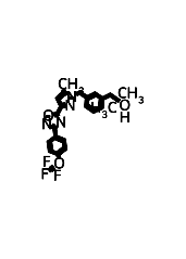 Cc1cc(-c2nc(-c3ccc(OC(F)(F)F)cc3)no2)nn1Cc1cccc(CC(C)(C)O)c1